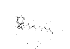 Cc1ccccc1CCCCCCCCCCBr